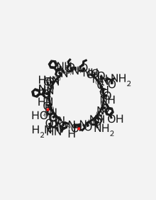 CCCC[C@H]1C(=O)N(C)[C@@H](CCCC)C(=O)NCC(=O)N[C@H](C(=O)NCC(N)=O)CSCC(=O)N[C@@H](Cc2ccc(O)cc2)C(=O)N(C)[C@@H](C)C(=O)N[C@@H](CC(N)=O)C(=O)N2CCC[C@H]2C(=O)N[C@@H](Cc2c[nH]cn2)C(=O)N[C@@H](CCCC(N)=O)C(=O)N2C[C@H](O)C[C@H]2C(=O)N[C@@H](Cc2c[nH]c3ccccc23)C(=O)N[C@@H](CO)C(=O)N[C@@H](Cc2c[nH]c3ccccc23)C(=O)N1C